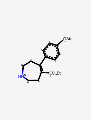 CCOC(=O)C1=C(c2ccc(OC)cc2)CCNCC1